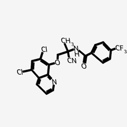 CC(C#N)(COc1c(Cl)cc(Cl)c2cccnc12)NC(=O)c1ccc(C(F)(F)F)cc1